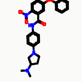 CN(C)C1CCN(c2ccc(NC(=O)c3cc(Oc4ccccc4)ccc3[N+](=O)[O-])cc2)C1